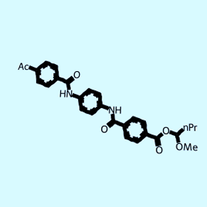 CCCC(OC)OC(=O)c1ccc(C(=O)Nc2ccc(NC(=O)c3ccc(C(C)=O)cc3)cc2)cc1